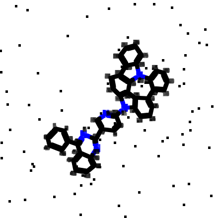 c1ccc(-c2nc(-c3ccc(-n4c5cccc6c7ccccc7n7c8ccccc8c8ccc4c(c65)c87)nc3)nc3ccccc23)cc1